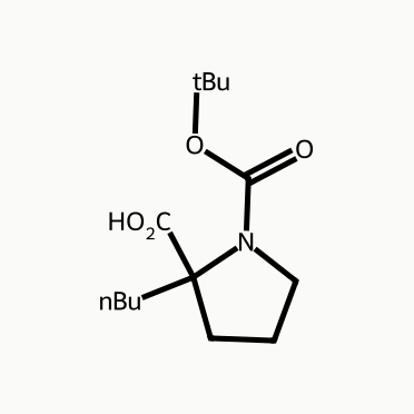 CCCCC1(C(=O)O)CCCN1C(=O)OC(C)(C)C